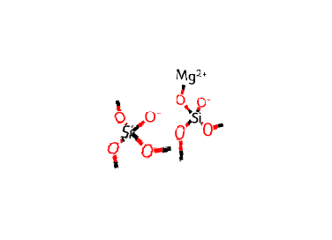 CO[Si]([O-])(OC)OC.CO[Si]([O-])(OC)OC.[Mg+2]